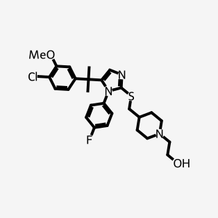 COc1cc(C(C)(C)c2cnc(SCC3CCN(CCO)CC3)n2-c2ccc(F)cc2)ccc1Cl